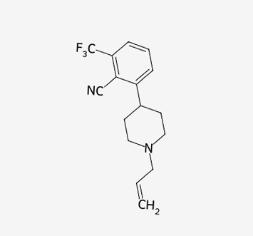 C=CCN1CCC(c2cccc(C(F)(F)F)c2C#N)CC1